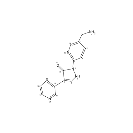 NCc1ccc(-n2[nH]cc(-c3cccnc3)c2=O)nc1